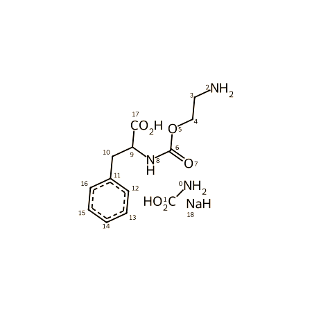 NC(=O)O.NCCOC(=O)NC(Cc1ccccc1)C(=O)O.[NaH]